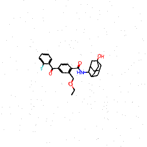 CCOCc1cc(C(=O)c2ccccc2F)ccc1C(=O)NC1C2CC3CC1CC(O)(C3)C2